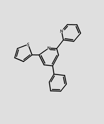 c1ccc(-c2cc(-c3ccccn3)nc(-c3cccs3)c2)cc1